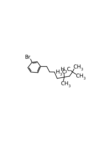 CC(C)(C)CC(C)(C)CCCCc1cccc(Br)c1